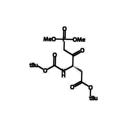 COP(=O)(CC(=O)[C@H](CC(=O)OC(C)(C)C)NC(=O)OC(C)(C)C)OC